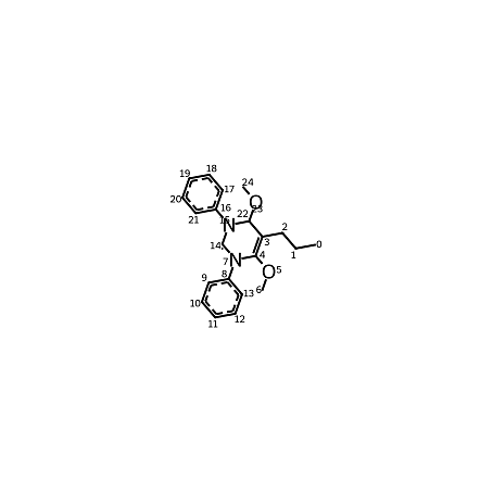 CCCC1=C(OC)N(c2ccccc2)[CH]N(c2ccccc2)C1OC